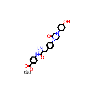 CC(C)(C)OC(=O)c1ccc(NC(=O)C(N)Cc2ccc(N3CCN(C4CCC(O)CC4)CC3=O)cc2)cc1